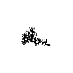 C#CCCCNc1ccc2cc(-c3cc(OC)cc(OC)c3)c(NC(=O)NC(C)(C)C)nc2n1